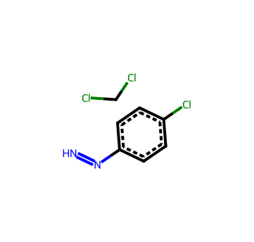 ClCCl.N=Nc1ccc(Cl)cc1